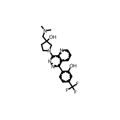 CN(C)CC1(O)CCN(c2nnc(-c3ccc(C(F)(F)F)cc3O)c3cccnc23)C1